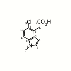 Cn1ccc2c(CC(=O)O)c(Cl)ccc21